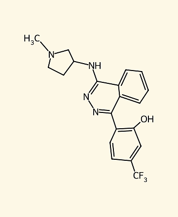 CN1CCC(Nc2nnc(-c3ccc(C(F)(F)F)cc3O)c3ccccc23)C1